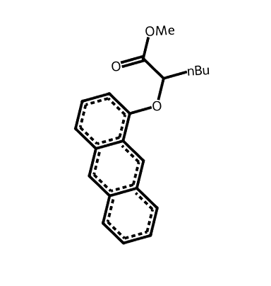 CCCCC(Oc1cccc2cc3ccccc3cc12)C(=O)OC